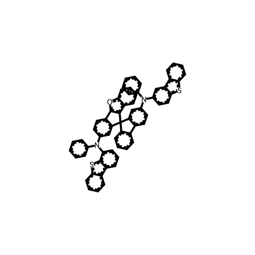 c1ccc(N(c2ccc3c(c2)C2(c4ccccc4-3)c3cc(N(c4ccccc4)c4cccc5c4sc4ccccc45)ccc3-c3oc4ccccc4c32)c2ccc3sc4ccccc4c3c2)cc1